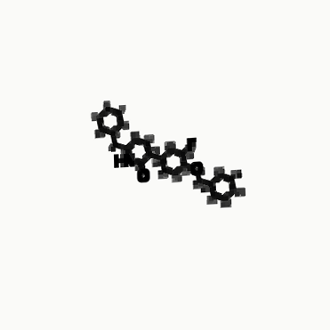 O=c1[nH]c(Cc2ccccc2)ccc1-c1ccc(OCc2ccccc2)c(F)c1